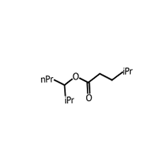 CCCC(OC(=O)CCC(C)C)C(C)C